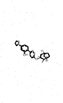 Oc1cc(-n2cccn2)ccc1-c1ccc(O[C@H]2C[C@@H]3CC[C@@H](C3)[C@H]2F)nn1